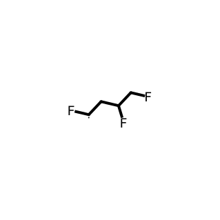 F[CH]CC(F)CF